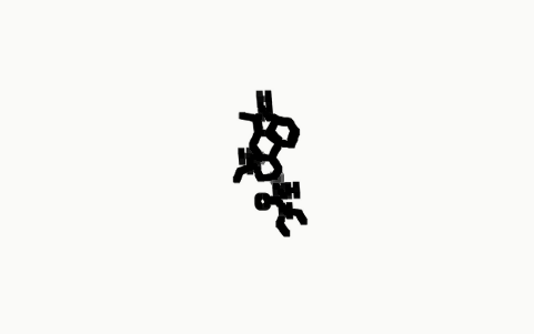 CCN(CC)C(=O)N[C@H]1CC2c3cccc4[nH]c(C)c(c34)C[C@H]2N(CC)C1